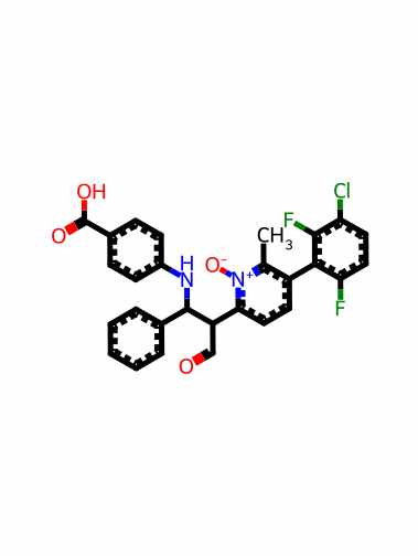 Cc1c(-c2c(F)ccc(Cl)c2F)ccc(C(C=O)C(Nc2ccc(C(=O)O)cc2)c2ccccc2)[n+]1[O-]